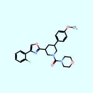 O=C(N1CCOCC1)N1CC(c2ccc(OC(F)(F)F)cc2)CC(c2nc(-c3ccccc3F)co2)C1